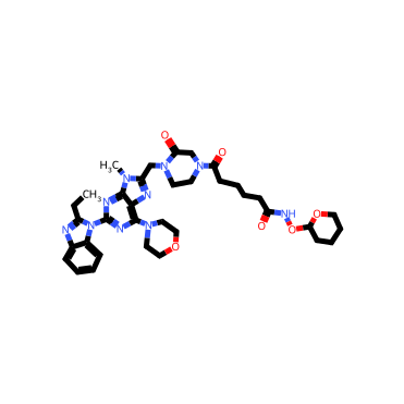 CCc1nc2ccccc2n1-c1nc(N2CCOCC2)c2nc(CN3CCN(C(=O)CCCCC(=O)NOC4CCCCO4)CC3=O)n(C)c2n1